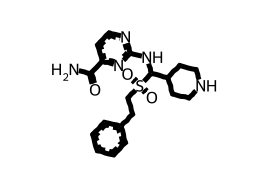 NC(=O)c1ccnc(NC(C2CCNCC2)S(=O)(=O)CCc2ccccc2)n1